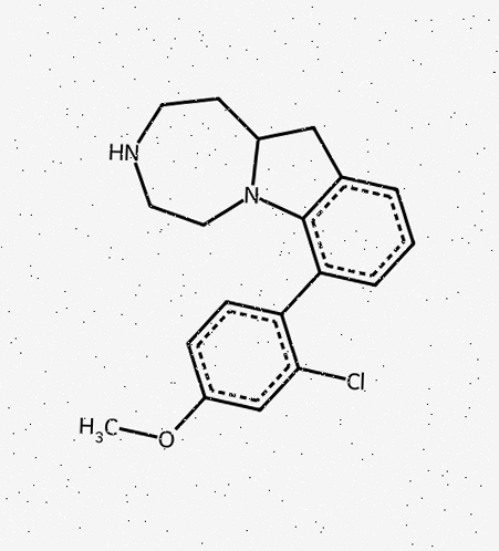 COc1ccc(-c2cccc3c2N2CCNCCC2C3)c(Cl)c1